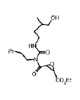 CCOC(=O)C1OC1C(=O)N(CCC(C)C)C(=O)NCCC(C)CO